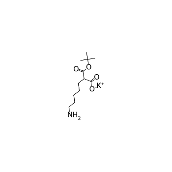 CC(C)(C)OC(=O)C(CCCCCN)C(=O)[O-].[K+]